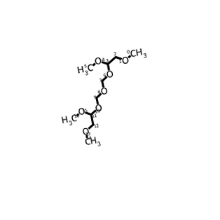 COCC(OC)OCOCOC(COC)OC